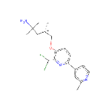 Cc1cc(-c2ccc(OC[C@@H](C)CC(C)(C)N)c(C(F)F)n2)ccn1